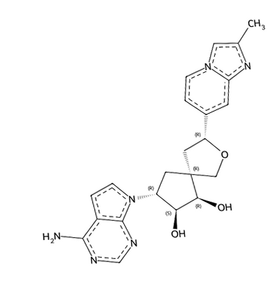 Cc1cn2ccc([C@H]3C[C@@]4(CO3)C[C@@H](n3ccc5c(N)ncnc53)[C@H](O)[C@@H]4O)cc2n1